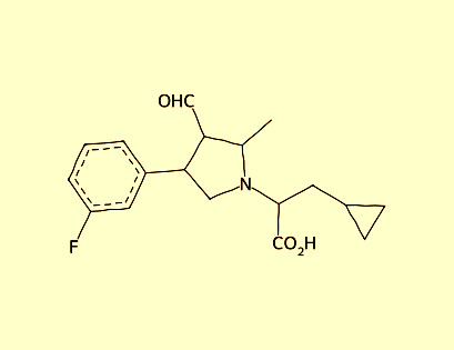 CC1C(C=O)C(c2cccc(F)c2)CN1C(CC1CC1)C(=O)O